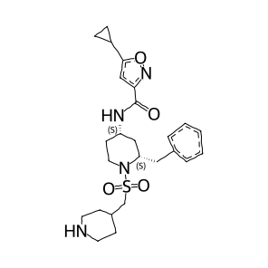 O=C(N[C@H]1CCN(S(=O)(=O)CC2CCNCC2)[C@@H](Cc2ccccc2)C1)c1cc(C2CC2)on1